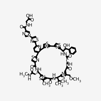 CNC(=O)C[C@@H]1NC(=O)c2csc(n2)-c2ccc(-c3nc(-n4cnc(C(=O)NCC(=O)O)c4)cs3)nc2-c2csc(n2)-c2csc(n2)[C@H]([C@@H](O)c2ccccc2)NC(=O)CNC(=O)c2nc(sc2COC)C(C(C)C)NC(=O)c2nc1sc2C